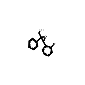 OCC1(c2ccccc2)OC1c1ccccc1Br